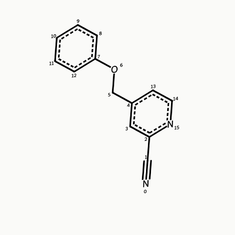 N#Cc1cc(COc2ccccc2)ccn1